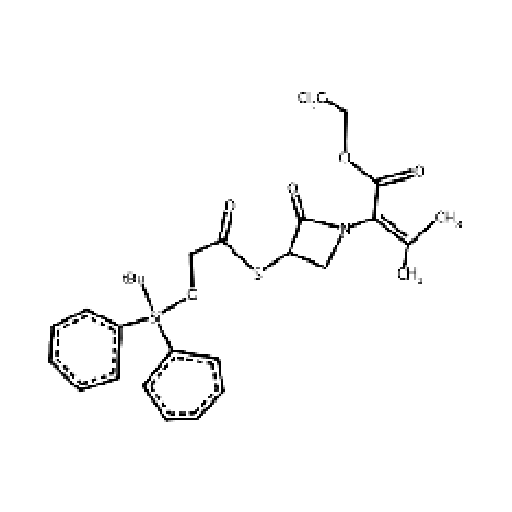 CC(C)=C(C(=O)OCC(Cl)(Cl)Cl)N1CC(SC(=O)CO[Si](c2ccccc2)(c2ccccc2)C(C)(C)C)C1=O